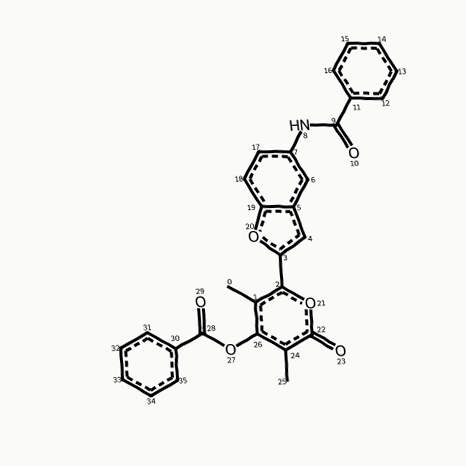 Cc1c(-c2cc3cc(NC(=O)c4ccccc4)ccc3o2)oc(=O)c(C)c1OC(=O)c1ccccc1